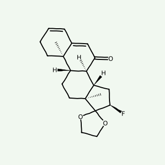 C[C@]12CCC=CC1=CC(=O)[C@@H]1[C@@H]2CC[C@@]2(C)[C@H]1C[C@@H](F)C21OCCO1